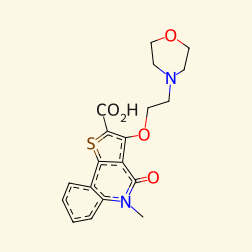 Cn1c(=O)c2c(OCCN3CCOCC3)c(C(=O)O)sc2c2ccccc21